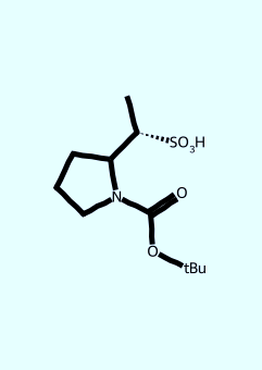 C[C@@H](C1CCCN1C(=O)OC(C)(C)C)S(=O)(=O)O